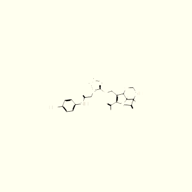 O=C(Cn1nnnc1SCC1=C(C(=O)O)N2C(=O)[C@H]3NCOC1[C@H]32)Nc1ccc(O)cc1